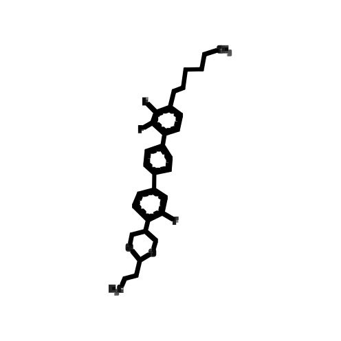 CCCCCCc1ccc(-c2ccc(-c3ccc(C4COC(CCC)OC4)c(F)c3)cc2)c(F)c1F